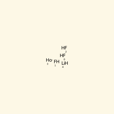 F.F.F.[Ho].[LiH]